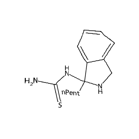 CCCCCC1(NC(N)=S)NCc2ccccc21